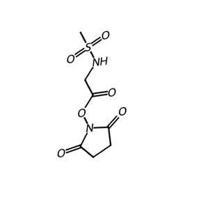 CS(=O)(=O)NCC(=O)ON1C(=O)CCC1=O